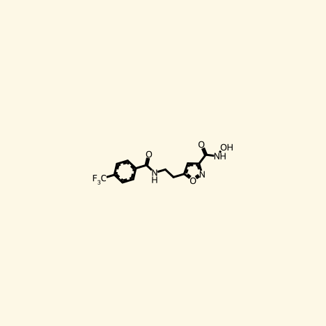 O=C(NCCc1cc(C(=O)NO)no1)c1ccc(C(F)(F)F)cc1